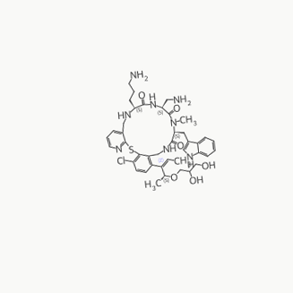 C/C=C(/c1ccc(Cl)c2c1CNC(=O)[C@H](Cc1c[nH]c3ccccc13)N(C)C(=O)[C@H](CN)NC(=O)[C@H](CCCN)NCc1cccnc1S2)[C@H](C)OCC(O)CO